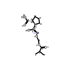 CC(C)C(=O)OCO/N=[N+](\[O-])N1CCC[C@H]1C(=O)O